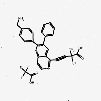 CC(C)(C#Cc1nccc2nc(-c3ccc(CN)cc3)c(-c3ccccc3)cc12)C(=O)O.O=C(O)C(F)(F)F